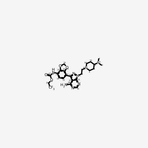 CN(C)C1CCN(CCn2nc(-c3ccc(NC(=O)OCC(F)(F)F)c4c3OCO4)c3c(N)ncnc32)CC1